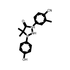 Cc1cc([SH]2NN(c3ccc(O)cc3)C(C)(C)C2=O)ccc1C#N